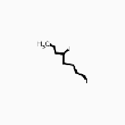 CCCC(I)CCCCI